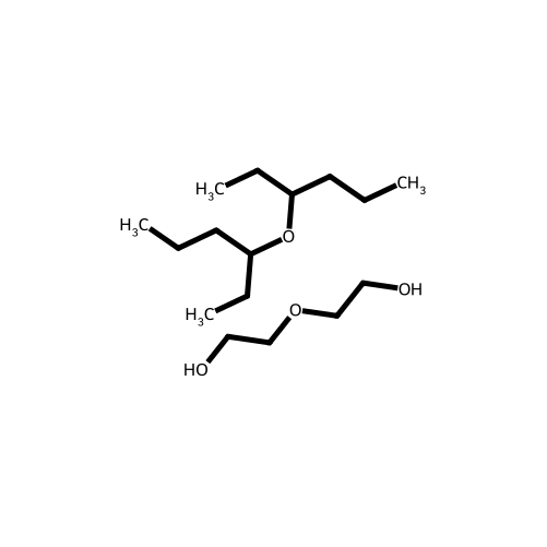 CCCC(CC)OC(CC)CCC.OCCOCCO